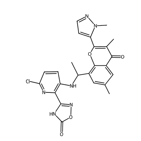 Cc1cc(C(C)Nc2ccc(Cl)nc2-c2noc(=O)[nH]2)c2oc(-c3ccnn3C)c(C)c(=O)c2c1